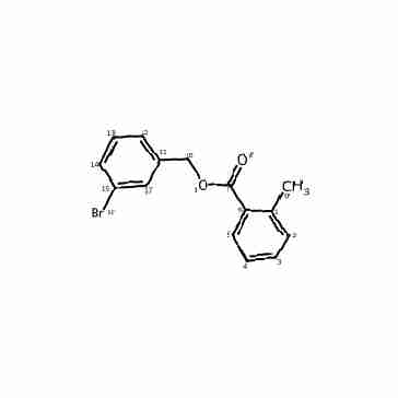 Cc1ccccc1C(=O)OCc1cccc(Br)c1